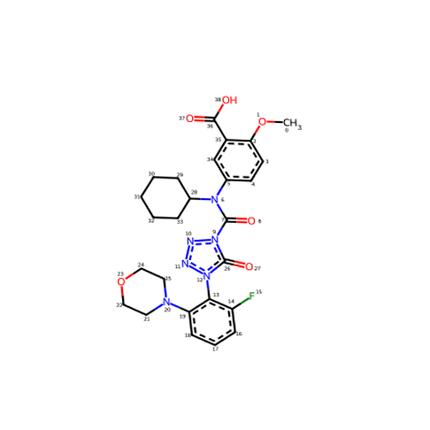 COc1ccc(N(C(=O)n2nnn(-c3c(F)cccc3N3CCOCC3)c2=O)C2CCCCC2)cc1C(=O)O